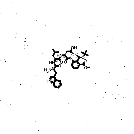 COC(=O)c1cccc(NC(=O)[C@H](CC(=O)O)NC(=O)[C@H](CC(C)C)NC(=O)[C@@H](N)Cc2c[nH]c3ccccc23)c1C(=O)OC(C)(C)C